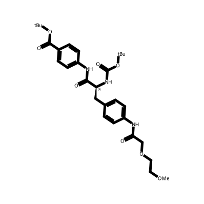 COCCOCC(=O)Nc1ccc(C[C@H](NC(=O)OC(C)(C)C)C(=O)Nc2ccc(C(=O)OC(C)(C)C)cc2)cc1